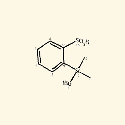 CC(C)(C)[Si](C)(C)c1ccccc1S(=O)(=O)O